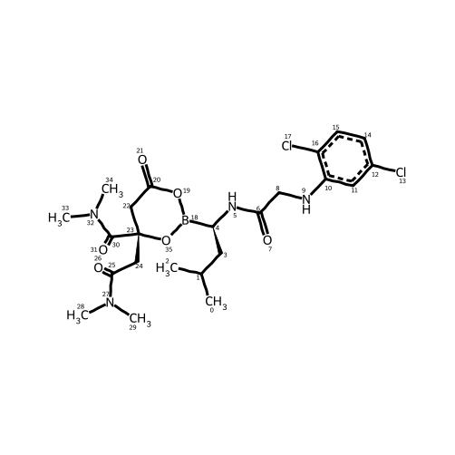 CC(C)C[C@H](NC(=O)CNc1cc(Cl)ccc1Cl)B1OC(=O)C[C@@](CC(=O)N(C)C)(C(=O)N(C)C)O1